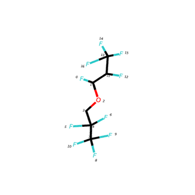 FC(OCC(F)(F)C(F)(F)F)C(F)C(F)(F)F